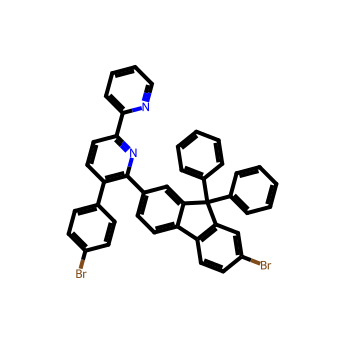 Brc1ccc(-c2ccc(-c3ccccn3)nc2-c2ccc3c(c2)C(c2ccccc2)(c2ccccc2)c2cc(Br)ccc2-3)cc1